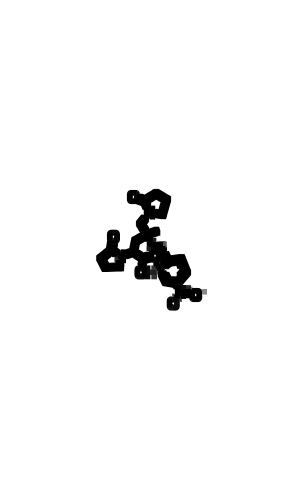 CC(CC(C(=O)O)N1CCCC1=O)(CN1CCCC1=O)SSc1ccc([N+](=O)[O-])cn1